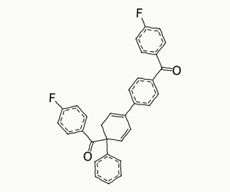 O=C(c1ccc(F)cc1)c1ccc(C2=CCC(C(=O)c3ccc(F)cc3)(c3ccccc3)C=C2)cc1